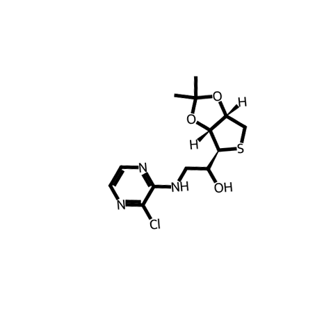 CC1(C)O[C@@H]2[C@@H](CS[C@H]2C(O)CNc2nccnc2Cl)O1